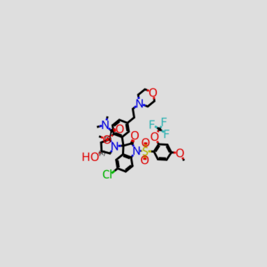 COc1ccc(S(=O)(=O)N2C(=O)C(c3cc(CCN4CCOCC4)ccc3OC)(N3C[C@H](O)C[C@H]3C(=O)N(C)C)c3cc(Cl)ccc32)c(OC(F)(F)F)c1